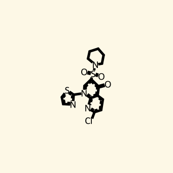 O=c1c(S(=O)(=O)N2CCCCC2)cn(-c2nccs2)c2nc(Cl)ccc12